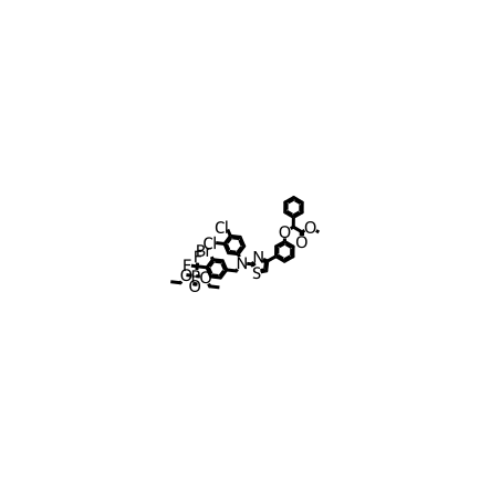 CCOP(=O)(OCC)C(F)(F)c1ccc(CN(c2ccc(Cl)c(Cl)c2)c2nc(-c3cccc(OC(C(=O)OC)c4ccccc4)c3)cs2)cc1Br